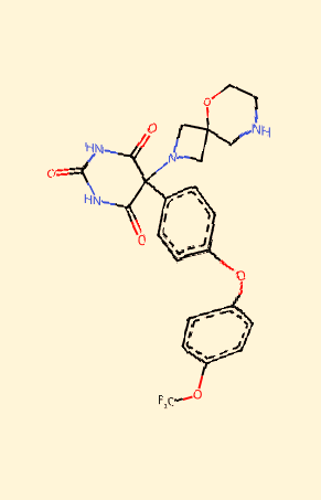 O=C1NC(=O)C(c2ccc(Oc3ccc(OC(F)(F)F)cc3)cc2)(N2CC3(CNCCO3)C2)C(=O)N1